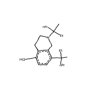 CCCC(C)(CC)c1ccc(O)c2c1CN(C(C)(CC)CCC)CC2